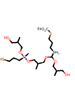 CCOC(=O)SCCC[SiH2]C(OCC(C)CO)OCC(C)CO[Si](C)(CCCS)OCC(C)CO